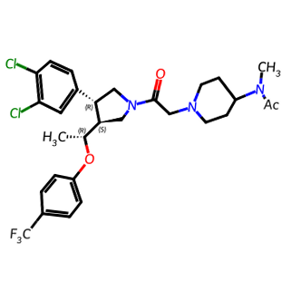 CC(=O)N(C)C1CCN(CC(=O)N2C[C@@H]([C@@H](C)Oc3ccc(C(F)(F)F)cc3)[C@H](c3ccc(Cl)c(Cl)c3)C2)CC1